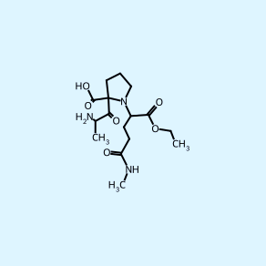 CCOC(=O)C(CCC(=O)NC)N1CCCC1(C(=O)O)C(=O)C(C)N